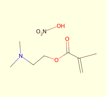 C=C(C)C(=O)OCCN(C)C.O=[N+]([O-])O